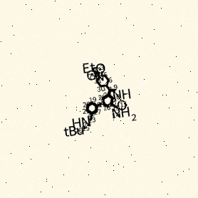 CCS(=O)(=O)N1CCC(c2c[nH]c3c(C(N)=O)cc(-c4cccc(CNCC(C)(C)C)c4)cc23)CC1